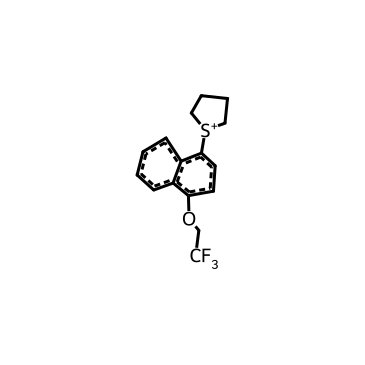 FC(F)(F)COc1ccc([S+]2CCCC2)c2ccccc12